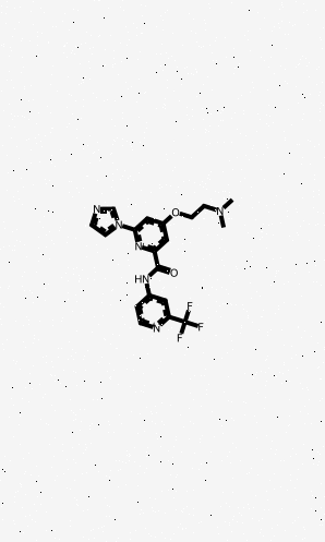 CN(C)CCOc1cc(C(=O)Nc2ccnc(C(F)(F)F)c2)nc(-n2ccnc2)c1